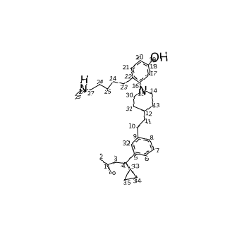 C=C(C)CC(c1cccc(CCC2CCN(c3cc(O)ccc3CCCCCNC)CC2)c1)C1CC1